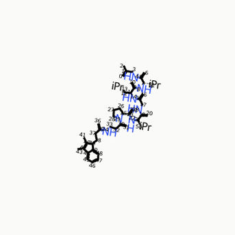 C=C(C)CNC(=C)[C@@H](NC(=C)C(CC(C)C)NC(=C)CNC(=C)C(NC(=C)[C@@H]1CCCN1C(=C)CCNC(=C)CCC1C(C)=C(C)c2ccccc21)C(C)C)C(C)C